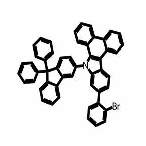 Brc1ccccc1-c1ccc2c3c4ccccc4c4ccccc4c3n(-c3ccc4c(c3)-c3ccccc3C4(c3ccccc3)c3ccccc3)c2c1